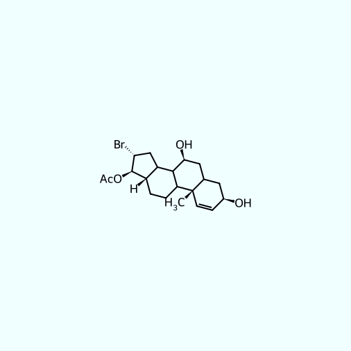 CC(=O)O[C@H]1[C@H](Br)CC2C3C(CC[C@@H]21)[C@@]1(C)C=C[C@H](O)CC1C[C@@H]3O